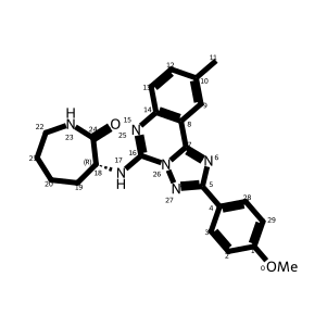 COc1ccc(-c2nc3c4cc(C)ccc4nc(N[C@@H]4CCCCNC4=O)n3n2)cc1